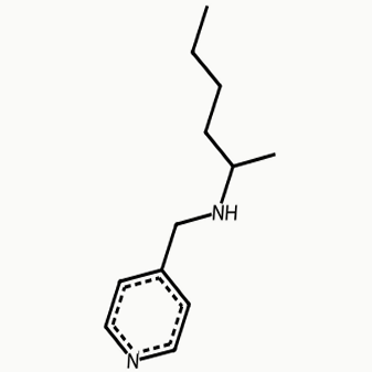 CCCCC(C)NCc1ccncc1